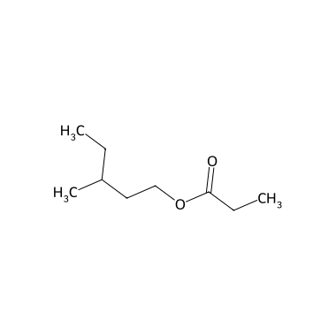 CCC(=O)OCCC(C)CC